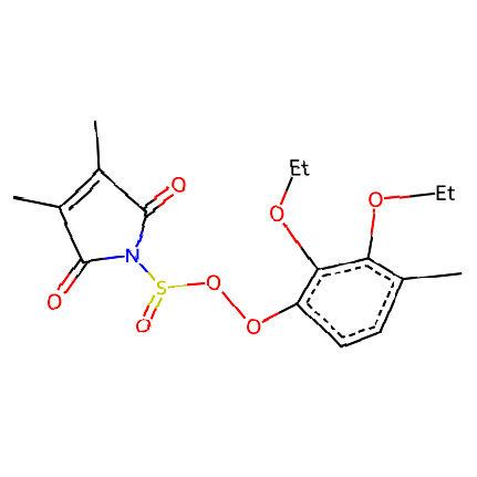 CCOc1c(C)ccc(OOS(=O)N2C(=O)C(C)=C(C)C2=O)c1OCC